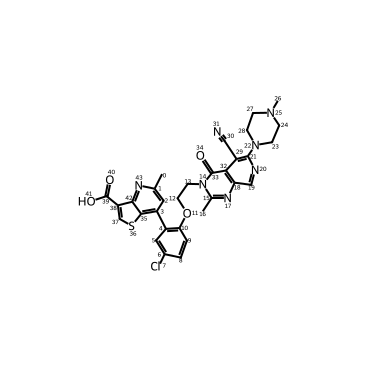 Cc1cc(-c2cc(Cl)ccc2OCCn2c(C)nc3cnc(N4CCN(C)CC4)c(C#N)c3c2=O)c2scc(C(=O)O)c2n1